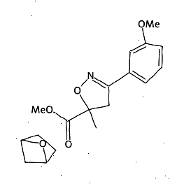 C1CC2CC1O2.COC(=O)C1(C)CC(c2cccc(OC)c2)=NO1